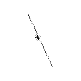 CCCCCCCCCCCCCCCCCCCCCCCC(=O)OC(=O)CCCCCCCCCCCCCCCCC